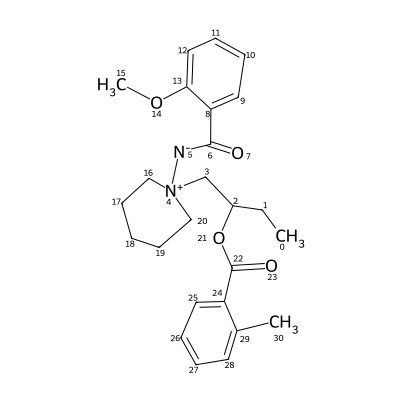 CCC(C[N+]1([N-]C(=O)c2ccccc2OC)CCCCC1)OC(=O)c1ccccc1C